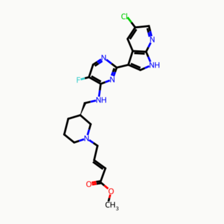 COC(=O)/C=C/CN1CCC[C@@H](CNc2nc(-c3c[nH]c4ncc(Cl)cc34)ncc2F)C1